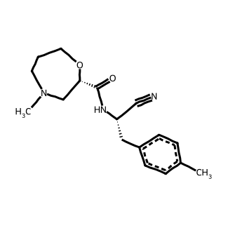 Cc1ccc(C[C@@H](C#N)NC(=O)[C@@H]2CN(C)CCCO2)cc1